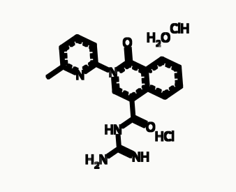 Cc1cccc(-n2cc(C(=O)NC(=N)N)c3ccccc3c2=O)n1.Cl.Cl.O